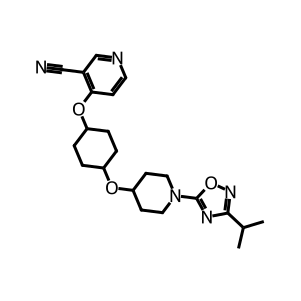 CC(C)c1noc(N2CCC(OC3CCC(Oc4ccncc4C#N)CC3)CC2)n1